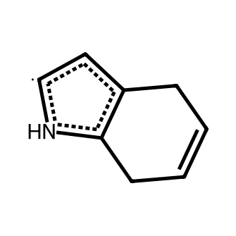 [c]1cc2c([nH]1)CC=CC2